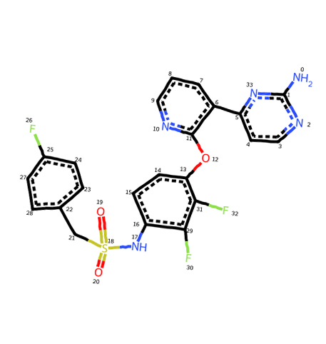 Nc1nccc(-c2cccnc2Oc2ccc(NS(=O)(=O)Cc3ccc(F)cc3)c(F)c2F)n1